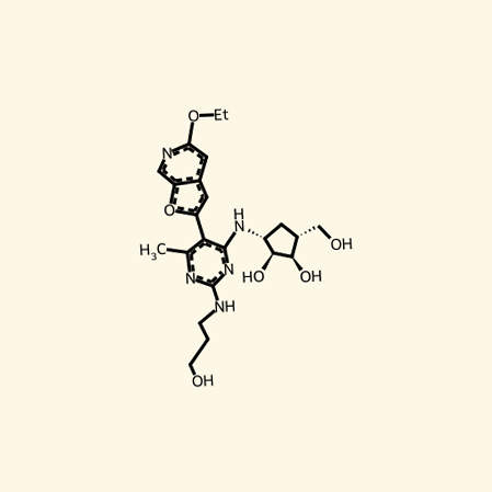 CCOc1cc2cc(-c3c(C)nc(NCCCO)nc3N[C@@H]3C[C@H](CO)[C@@H](O)[C@H]3O)oc2cn1